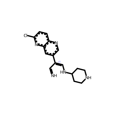 N=C/C(=C\NC1CCNCC1)c1cnc2ccc(Cl)nc2c1